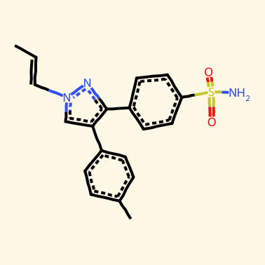 CC=Cn1cc(-c2ccc(C)cc2)c(-c2ccc(S(N)(=O)=O)cc2)n1